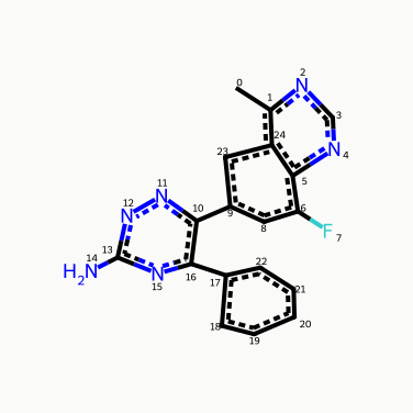 Cc1ncnc2c(F)cc(-c3nnc(N)nc3-c3ccccc3)cc12